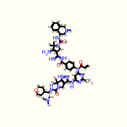 C=CC(=O)N(c1ccc(C(=O)NC(=N)C2=C(N)C(C)(C)N(C(=O)NC3CN(C)Cc4ccccc43)C2)cc1)c1cc(Nc2n[nH]c3c2CN(C(=O)N[C@H](CN(C)C)C2CCOCC2)C3(C)C)nc(C(F)(F)F)n1